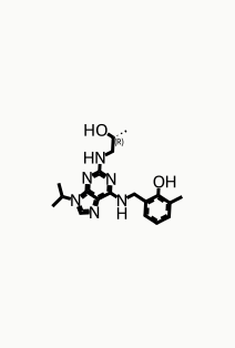 Cc1cccc(CNc2nc(NC[C@@H](C)O)nc3c2ncn3C(C)C)c1O